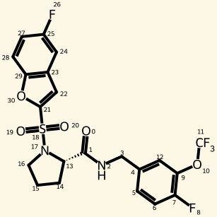 O=C(NCc1ccc(F)c(OC(F)(F)F)c1)[C@@H]1CCCN1S(=O)(=O)c1cc2cc(F)ccc2o1